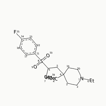 CCN1CCC(CC(OC)S(=O)(=O)c2ccc(F)cc2)(C(=O)O)CC1